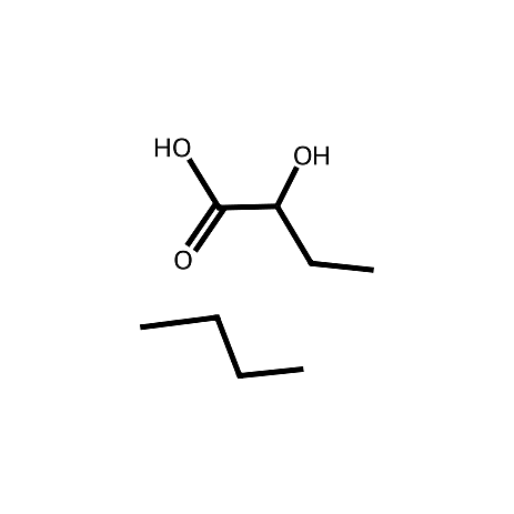 CCC(O)C(=O)O.CCCC